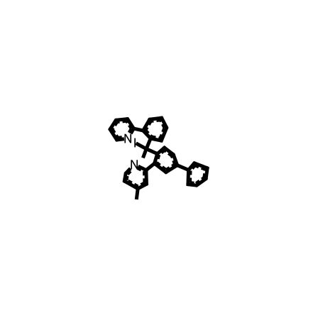 Cc1ccnc(-c2cc(-c3ccccc3)ccc2C(C)(I)c2ccccc2-c2ccccn2)c1